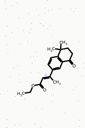 CCOC(=O)/C=C(\C)c1ccc2c(c1)C(=O)CCC2(C)C